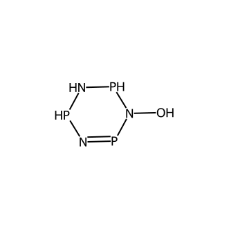 On1pn[pH][nH][pH]1